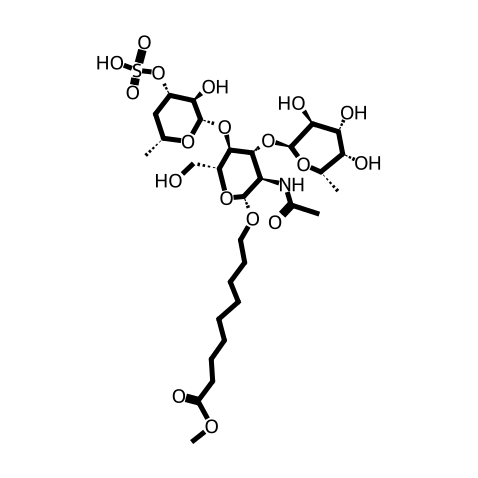 COC(=O)CCCCCCCCO[C@@H]1O[C@H](CO)[C@@H](O[C@@H]2O[C@H](C)C[C@H](OS(=O)(=O)O)[C@H]2O)[C@H](O[C@@H]2O[C@@H](C)[C@@H](O)[C@@H](O)[C@@H]2O)[C@H]1NC(C)=O